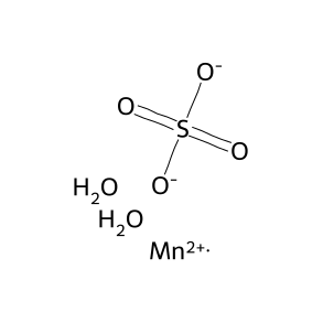 O.O.O=S(=O)([O-])[O-].[Mn+2]